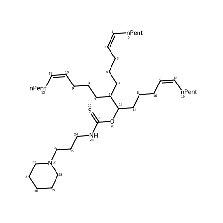 CCCCC/C=C\CCCC(CCC/C=C\CCCCC)C(CCC/C=C\CCCCC)OC(=S)NCCCN1CCCCC1